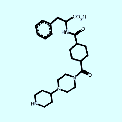 O=C(NC(Cc1ccccc1)C(=O)O)C1CCC(C(=O)N2CCN(C3CCNCC3)CC2)CC1